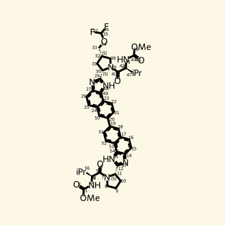 COC(=O)N[C@H](C(=O)N1CCC[C@H]1c1nc2ccc3cc(-c4ccc5c(ccc6nc([C@@H]7C[C@H](COC(F)F)CN7C(=O)[C@@H](NC(=O)OC)C(C)C)[nH]c65)c4)ccc3c2[nH]1)C(C)C